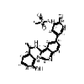 CC(Nc1ncnc2ccc(-c3cnc(Cl)c(NS(C)(=O)=O)c3)cc12)c1cccc(O)c1